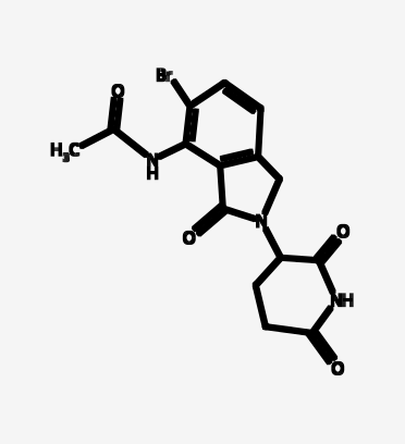 CC(=O)Nc1c(Br)ccc2c1C(=O)N(C1CCC(=O)NC1=O)C2